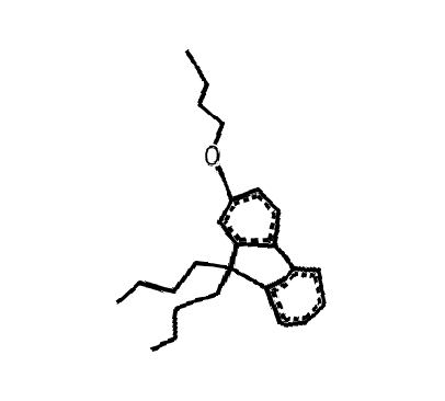 CCCCOc1ccc2c(c1)C(CCCC)(CCCC)c1ccccc1-2